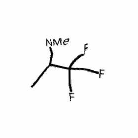 CNC(C)C(F)(F)F